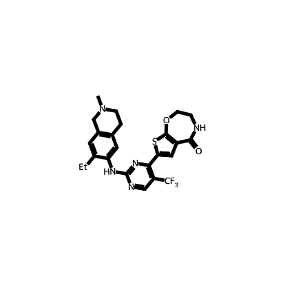 CCc1cc2c(cc1Nc1ncc(C(F)(F)F)c(-c3cc4c(s3)OCCNC4=O)n1)CCN(C)C2